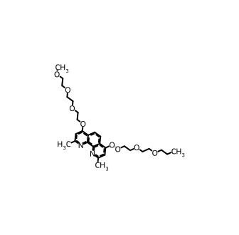 CCCOCCOCCOOc1cc(C)nc2c1ccc1c(OCCOCCOCCOC)cc(C)nc12